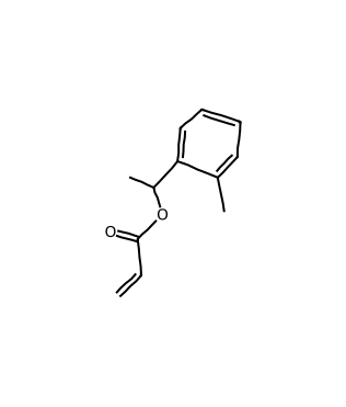 C=CC(=O)OC(C)c1ccccc1C